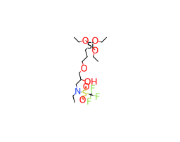 CCO[Si](CCCOCC(O)CN(CC)S(=O)(=O)C(F)(F)F)(OCC)OCC